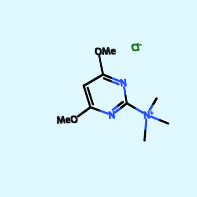 COc1cc(OC)nc([N+](C)(C)C)n1.[Cl-]